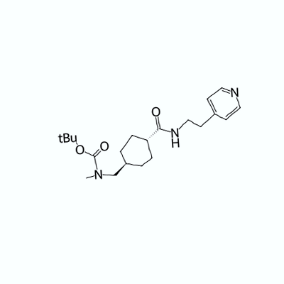 CN(C[C@H]1CC[C@H](C(=O)NCCc2ccncc2)CC1)C(=O)OC(C)(C)C